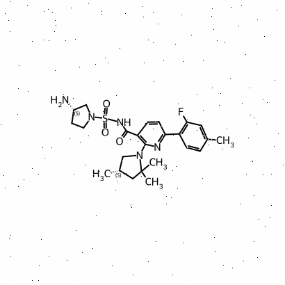 Cc1ccc(-c2ccc(C(=O)NS(=O)(=O)N3CC[C@H](N)C3)c(N3C[C@@H](C)CC3(C)C)n2)c(F)c1